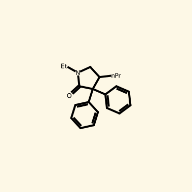 CCCC1CN(CC)C(=O)C1(c1ccccc1)c1ccccc1